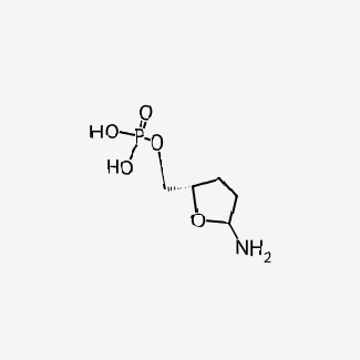 NC1CC[C@@H](COP(=O)(O)O)O1